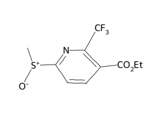 CCOC(=O)c1ccc([S+](C)[O-])nc1C(F)(F)F